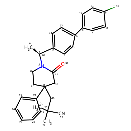 C[C@@H](c1ccc(-c2ccc(F)cc2)cc1)N1CCC(CC(C)(C)C#N)(c2ccccc2)CC1=O